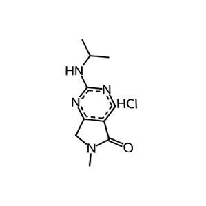 CC(C)Nc1ncc2c(n1)CN(C)C2=O.Cl